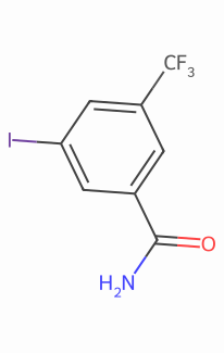 NC(=O)c1cc(I)cc(C(F)(F)F)c1